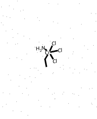 C[CH2][Cr]([NH2])([Cl])([Cl])[Cl]